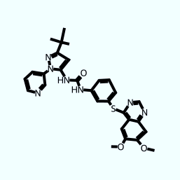 COc1cc2ncnc(Sc3cccc(NC(=O)Nc4cc(C(C)(C)C)nn4-c4cccnc4)c3)c2cc1OC